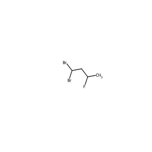 CC(F)CC(Br)Br